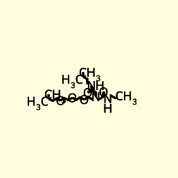 CCCNC(=O)CN(CCOCCOCCOCCC(C)C)CC(=O)NCCC(C)C